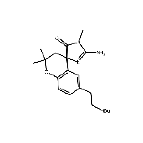 CN1C(=O)C2(CC(C)(C)Oc3ccc(CCC(C)(C)C)cc32)N=C1N